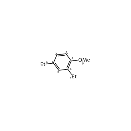 CCc1c[c]c(OC)c(CC)c1